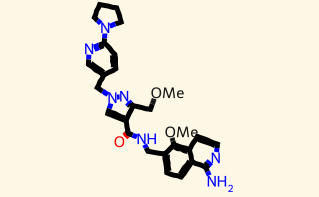 COCc1nn(Cc2ccc(N3CCCC3)nc2)cc1C(=O)NCc1ccc2c(N)nccc2c1OC